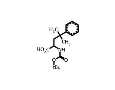 CC(C)(C)OC(=O)NC(CC(C)(C)c1ccccc1)C(=O)O